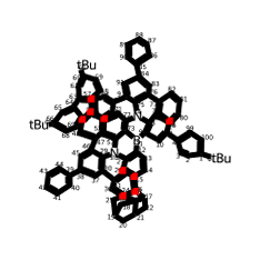 CC(C)(C)c1ccc(-c2ccc3c(c2)B2c4ccc(N5C6CC7CC(C6)CC5C7)cc4N(c4c(-c5ccccc5)cc(-c5ccccc5)cc4-c4ccccc4)c4cc(-n5c6ccc(C(C)(C)C)cc6c6cc(C(C)(C)C)ccc65)cc(c42)N3c2c(-c3ccccc3)cc(-c3ccccc3)cc2-c2ccccc2)cc1